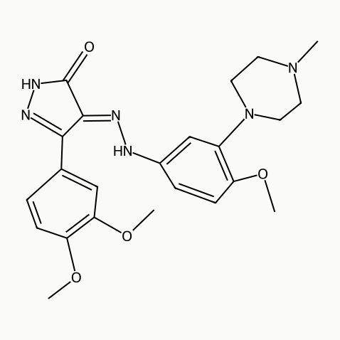 COc1ccc(C2=NNC(=O)/C2=N/Nc2ccc(OC)c(N3CCN(C)CC3)c2)cc1OC